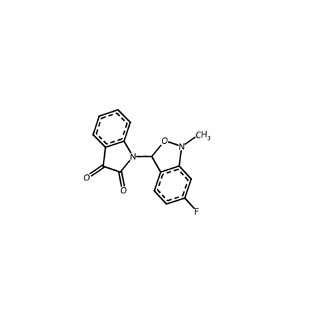 CN1OC(N2C(=O)C(=O)c3ccccc32)c2ccc(F)cc21